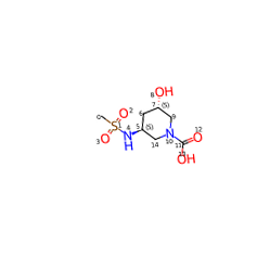 CS(=O)(=O)N[C@H]1C[C@H](O)CN(C(=O)O)C1